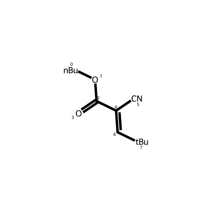 CCCCOC(=O)/C(C#N)=C/C(C)(C)C